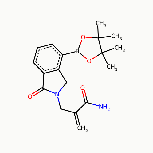 C=C(CN1Cc2c(B3OC(C)(C)C(C)(C)O3)cccc2C1=O)C(N)=O